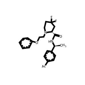 CC(=O)c1ccc([C@H](C)NC(=O)[C@H]2CC(F)(F)CCN2CCOc2ccccc2)cc1